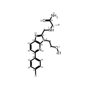 CCOCCn1c(CN[C@@H](C)C(N)=O)nc2ccc(-c3ccc(C)cc3)nc21